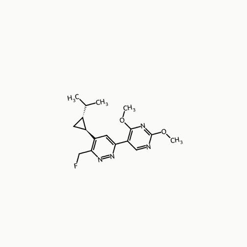 COc1ncc(-c2cc([C@H]3C[C@@H]3C(C)C)c(CF)nn2)c(OC)n1